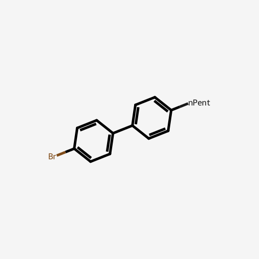 CCCCCc1ccc(-c2ccc(Br)cc2)cc1